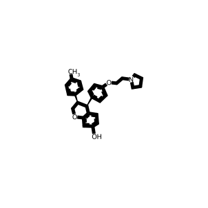 Cc1ccc([C@@H]2COc3cc(O)ccc3[C@@H]2c2ccc(OCCN3CCCC3)cc2)cc1